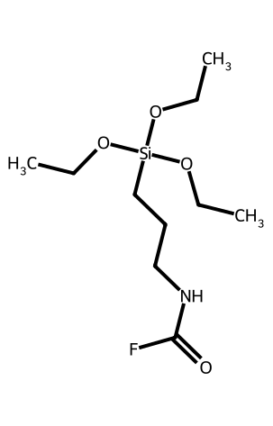 CCO[Si](CCCNC(=O)F)(OCC)OCC